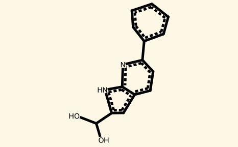 OC(O)c1cc2ccc(-c3ccccc3)nc2[nH]1